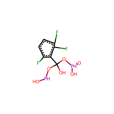 O=[PH](O)OC(O)(OPO)c1c(F)ccc(F)c1F